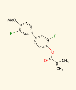 C=C(C)C(=O)Oc1ccc(-c2ccc(OC)c(F)c2)cc1F